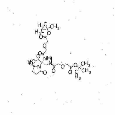 CC(C)(C)OC(=O)COCC(=O)NC[C@@](NC(=O)COCC(=O)OC(C)(C)C)(C(=O)O)N1C(=O)CCC1=O